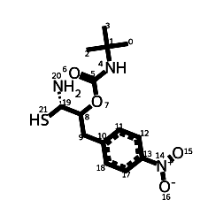 CC(C)(C)NC(=O)OC(Cc1ccc([N+](=O)[O-])cc1)[C@@H](N)S